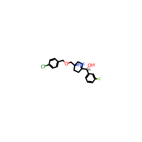 O[C@H](c1cccc(F)c1)C12CCC(COCc3ccc(Cl)cc3)(CC1)N2